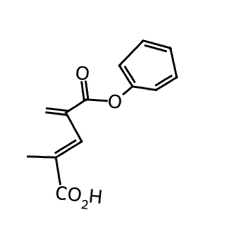 C=C(C=C(C)C(=O)O)C(=O)Oc1ccccc1